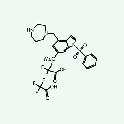 COc1cc(CN2CCCNCC2)c2ccn(S(=O)(=O)c3ccccc3)c2c1.O=C(O)C(F)(F)F.O=C(O)C(F)(F)F